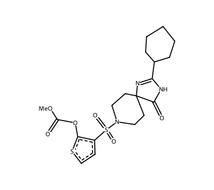 COC(=O)Oc1sccc1S(=O)(=O)N1CCC2(CC1)N=C(C1CCCCC1)NC2=O